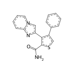 NC(=O)c1scc(-c2ccccc2)c1-c1cn2ccccc2n1